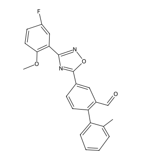 COc1ccc(F)cc1-c1noc(-c2ccc(-c3ccccc3C)c(C=O)c2)n1